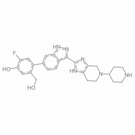 OCc1cc(O)c(F)cc1-c1ccc2c(-c3nc4c([nH]3)CCN(C3CCNCC3)C4)n[nH]c2c1